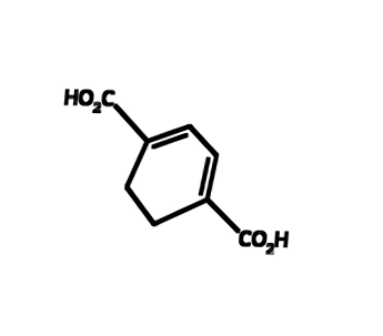 O=C(O)C1=CC=C(C(=O)O)CC1